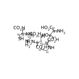 CC(C)C[C@H](N)C(=O)O.C[C@@H](O)[C@H](N)C(=O)O.NCC(=O)O.N[C@@H](CS)C(=O)O.O=C(O)[C@@H]1CCCN1